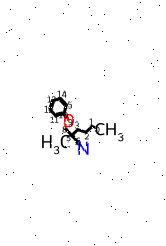 CCCCC(C)(C#N)COc1cc[c]cc1